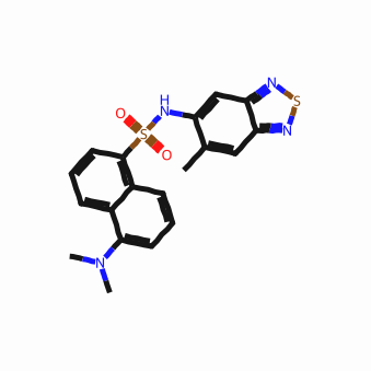 Cc1cc2nsnc2cc1NS(=O)(=O)c1cccc2c(N(C)C)cccc12